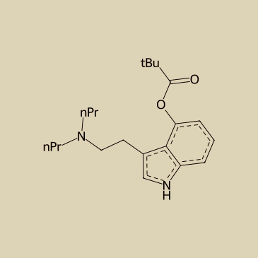 CCCN(CCC)CCc1c[nH]c2cccc(OC(=O)C(C)(C)C)c12